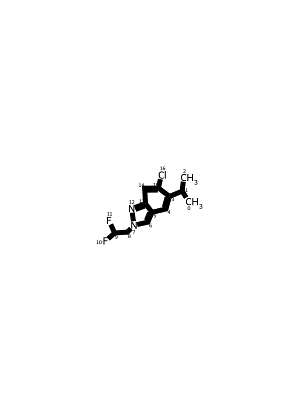 CC(C)c1cc2cn(CC(F)F)nc2cc1Cl